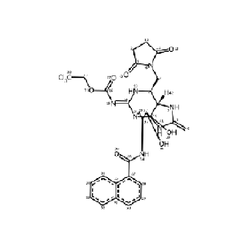 C=C1N[C@H]2[C@H](CN3C(=O)CCC3=O)N/C(=N\C(=O)OCC(Cl)(Cl)Cl)N3CC(NC(=O)c4cccc5ccccc45)C(O)(O)C23N1